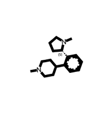 CN1CCC(c2ccccc2[C@@H]2CCCN2C)CC1